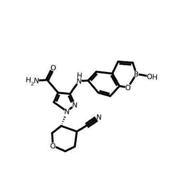 N#CC1CCOC[C@@H]1n1cc(C(N)=O)c(Nc2ccc3c(c2)C=CB(O)O3)n1